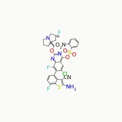 N#Cc1c(N)sc2c(F)ccc(-c3c(Cl)cc4c(OS(=O)(=O)c5ccccc5[N+](=O)[O-])nc(OC[C@@]56CCCN5C[C@H](F)C6)nc4c3F)c12